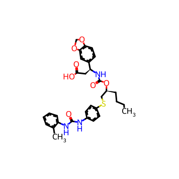 CCCC[C@@H](CSc1ccc(NC(=O)Nc2ccccc2C)cc1)OC(=O)N[C@@H](CC(=O)O)c1ccc2c(c1)OCO2